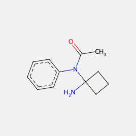 CC(=O)N(c1[c]cccc1)C1(N)CCC1